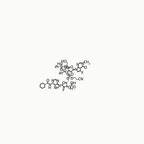 CC(C)[Si](O)(O[Si](O[C@H]1[C@@H](OP(=O)(OCCC#N)OC[C@H]2O[C@@H](n3cnc4c(NC(=O)c5ccccc5)ncnc43)[C@H](F)[C@@H]2O[PH](=O)O)[C@H](n2cc(F)c3c(=O)n(C)cnc32)O[C@@H]1CCO)(C(C)C)C(C)C)C(C)C